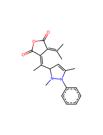 CC1=CC(/C(C)=C2/C(=O)OC(=O)C2=C(C)C)N(C)N1c1ccccc1